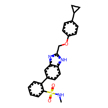 CNS(=O)(=O)c1ccccc1-c1ccc2[nH]c(COc3ccc(C4CC4)cc3)nc2c1